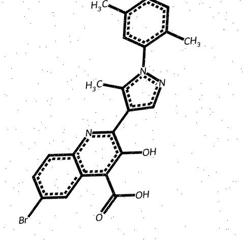 Cc1ccc(C)c(-n2ncc(-c3nc4ccc(Br)cc4c(C(=O)O)c3O)c2C)c1